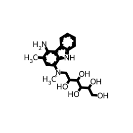 Cc1cc(N(C)CC(O)C(O)C(O)C(O)CO)c2[nH]c3ccccc3c2c1N